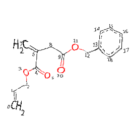 C=CCOC(=O)C(=C)CC(=O)OCc1ccccc1